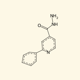 NNC(=O)c1ccnc(-c2ccccc2)c1